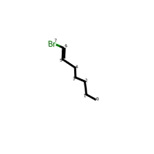 CCCCCC=CBr